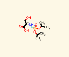 CC(C)OP(=O)(F)OC(C)C.N[C@@H](CO)C(=O)O